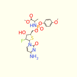 COC(=O)C(C)NP(=O)(OC[C@H]1S[C@@H](n2ccc(N)nc2=O)[C@@H](F)[C@@H]1O)Oc1ccc(OC)cc1